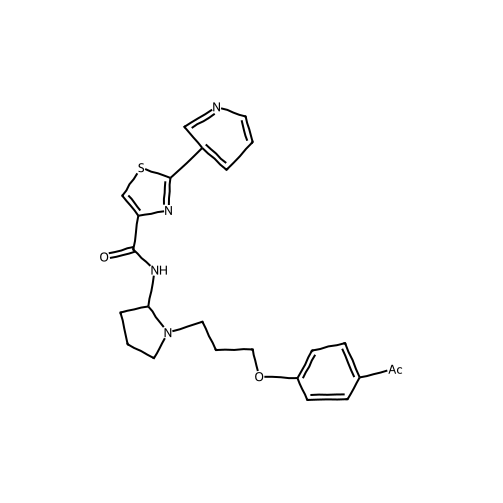 CC(=O)c1ccc(OCCCN2CCCC2NC(=O)c2csc(-c3cccnc3)n2)cc1